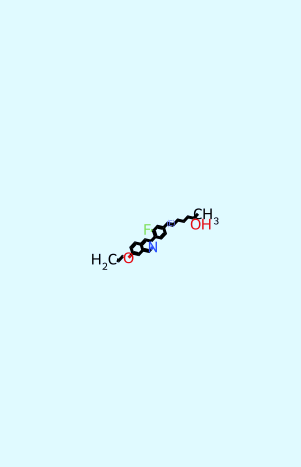 C=CCOc1ccc2cc(-c3ccc(/C=C/CCCC(C)O)cc3F)ncc2c1